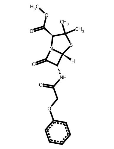 COC(=O)[C@@H]1N2C(=O)[C@@H](NC(=O)COc3ccccc3)[C@H]2SC1(C)C